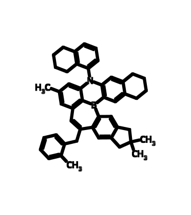 Cc1cc2c3c(c1)N(c1cccc4c1CCCC4)c1cc4c(cc1B3c1cc3c(cc1C(Cc1ccccc1C)=C2)CC(C)(C)C3)CCCC4